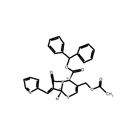 CC(=O)OCC1=CS[C@@H]2/C(=C/c3ccccn3)C(=O)N2[C@H]1C(=O)OC(c1ccccc1)c1ccccc1